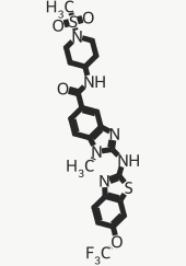 Cn1c(Nc2nc3ccc(OC(F)(F)F)cc3s2)nc2cc(C(=O)NC3CCN(S(C)(=O)=O)CC3)ccc21